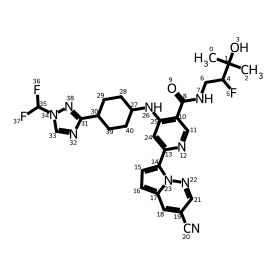 CC(C)(O)C(F)CNC(=O)c1cnc(-c2ccc3cc(C#N)cnn23)cc1NC1CCC(c2ncn(C(F)F)n2)CC1